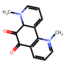 CN1C=CC=C2c3c(ccc[n+]3C)C(=O)C(=O)C21